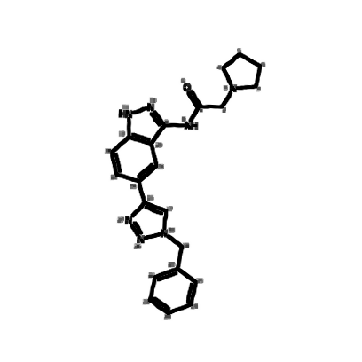 O=C(CN1CCCC1)Nc1n[nH]c2ccc(-c3cn(Cc4ccccc4)nn3)cc12